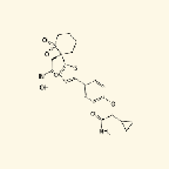 NC(=O)C(Oc1ccc(-c2ccc([C@@]3(CC(=O)NO)CCCCS3(=O)=O)s2)cc1)C1CC1